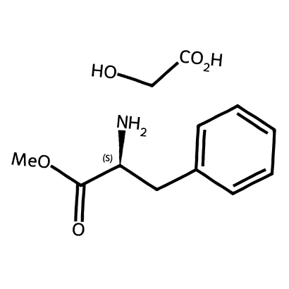 COC(=O)[C@@H](N)Cc1ccccc1.O=C(O)CO